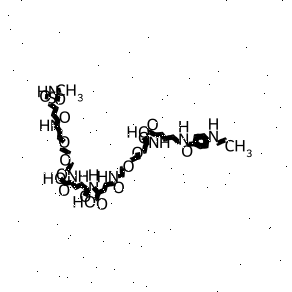 CCCNc1ccc(C(=O)NCCCCC(NC(=O)COCCOCCNC(=O)CCC(NC(=O)CCC(NC(=O)COCCOCCNC(=O)CCCS(=O)(=O)NC)C(=O)O)C(=O)O)C(=O)O)cc1